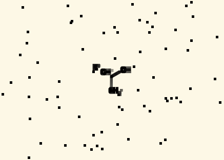 [CH2]CO.[K+].[OH-]